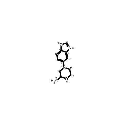 CC1CN(c2ccc3ocnc3c2)CCO1